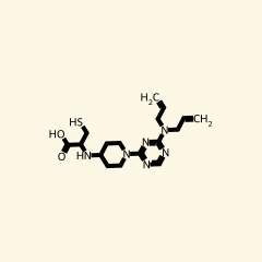 C=CCN(CC=C)c1ncnc(N2CCC(NC(CS)C(=O)O)CC2)n1